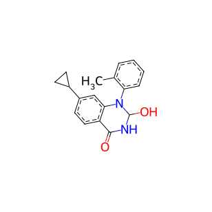 Cc1ccccc1N1c2cc(C3CC3)ccc2C(=O)NC1O